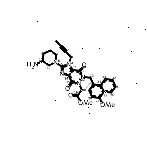 CC#CCn1c(N2CCCC(N)C2)nc2c(=O)n(CC(=O)OC)n(Cc3ccc(OC)c4ccccc34)c(=O)c21